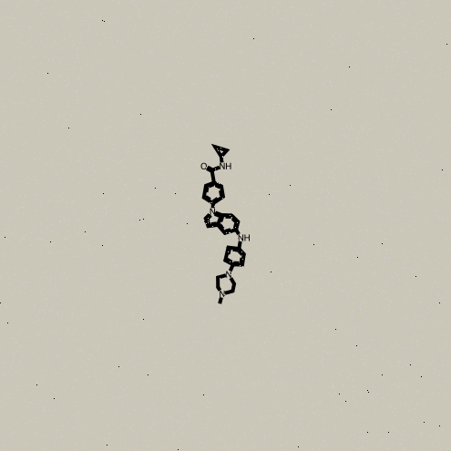 CN1CCN(c2ccc(Nc3ccc4c(ccn4-c4ccc(C(=O)NC5CC5)cc4)c3)cc2)CC1